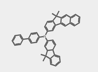 CC1(C)c2ccc(N(C3=CC4C(C=C3)c3ccccc3C4(C)C)c3ccc(-c4ccccc4)cc3)cc2-c2cc3ccccc3cc21